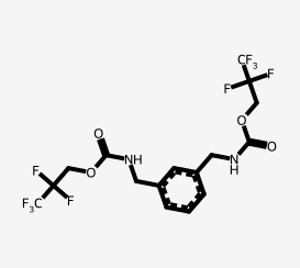 O=C(NCc1cccc(CNC(=O)OCC(F)(F)C(F)(F)F)c1)OCC(F)(F)C(F)(F)F